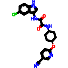 N#Cc1ccc(O[C@H]2CC[C@H](NC(=O)C(=O)Nc3c[nH]c4ccc(Cl)cc34)CC2)nc1